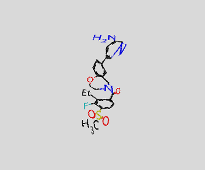 CCc1c(C(=O)N2CCOc3ccc(-c4cncc(N)c4)cc3C2)ccc(S(C)(=O)=O)c1F